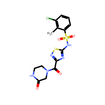 Cc1c(Cl)cccc1S(=O)(=O)Nc1nc(C(=O)N2CCNC(=O)C2)ns1